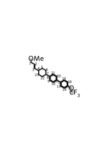 COC/C=C/C1CCC(c2ccc(-c3ccc(OC(F)(F)F)cc3)cc2)CC1